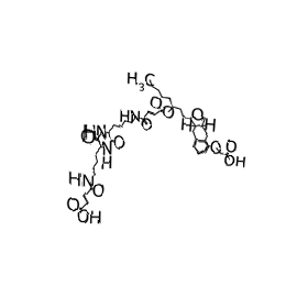 CCCCC[C@@H](CC[C@H]1OC[C@@H]2Cc3c(cccc3OCC(=O)O)C[C@@H]21)OC(=O)/C=C/C(=O)NCCCCC1NC(=O)C(CCCCNC(=O)/C=C/C(=O)O)NC1=O